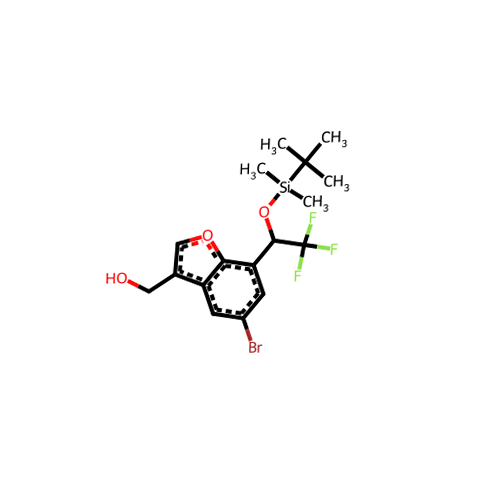 CC(C)(C)[Si](C)(C)OC(c1cc(Br)cc2c(CO)coc12)C(F)(F)F